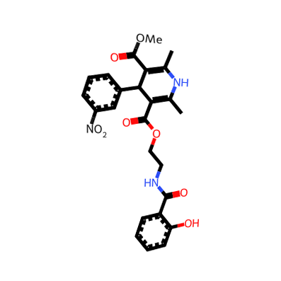 COC(=O)C1=C(C)NC(C)=C(C(=O)OCCNC(=O)c2ccccc2O)C1c1cccc([N+](=O)[O-])c1